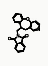 O=C1c2ccccc2C(=O)N1CC1Cc2cnccc2Oc2ccccc21